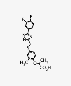 Cc1cc(SCc2nnc(-c3ccc(F)c(F)c3)s2)ccc1OC(C)C(=O)O